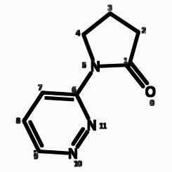 O=C1CCCN1c1cc[c]nn1